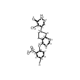 O=c1[nH]ncc(N2CCc3c(ncnc3Oc3ccc(F)cc3[N+](=O)[O-])C2)c1Cl